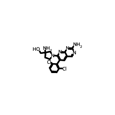 Nc1ncc2cc(-c3c(Cl)cccc3Cl)c(N3CCC(N)(CO)C3)nc2n1